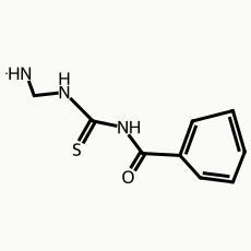 [NH]CNC(=S)NC(=O)c1ccccc1